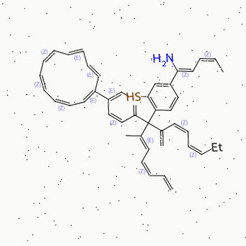 C=C/C=C\C=C(/C)C(C(=C)/C=C\C=C/CC)(C(=C)\C=C/C(=C\C)C1=C/C=C\C=C/C=C\C=C\C=C\1)c1ccc(/C(N)=C/C=C\C)cc1S